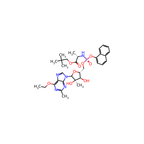 CCOc1nc(C)nc2c1ncn2C1O[C@H](COP(=O)(N[C@@H](C)C(=O)OCC(C)(C)C)Oc2cccc3ccccc23)[C@@H](O)[C@@]1(C)O